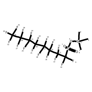 C[Si](C)(C)OS(=O)(=O)C(F)(F)C(F)(F)C(F)(F)C(F)(F)C(F)(F)C(F)(F)C(F)(F)C(F)(F)F